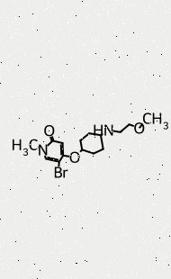 COCCNC1CCC(Oc2cc(=O)n(C)cc2Br)CC1